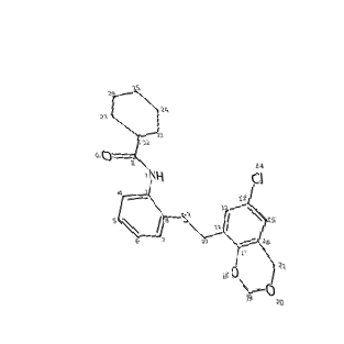 O=C(Nc1ccccc1SCc1cc(Cl)cc2c1OCOC2)C1CCCCC1